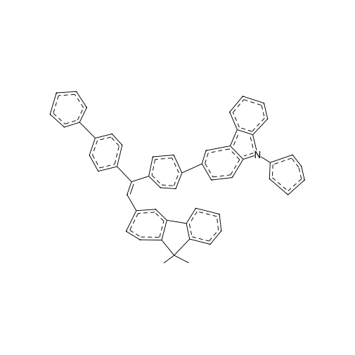 CC1(C)c2ccccc2-c2cc(C=C(c3ccc(-c4ccccc4)cc3)c3ccc(-c4ccc5c(c4)c4ccccc4n5-c4ccccc4)cc3)ccc21